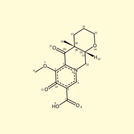 COc1c2n(cc(C(=O)O)c1=O)C[C@H]1OCCC[C@@]1(C)C2=O